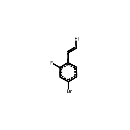 CCC=Cc1ccc(Br)cc1F